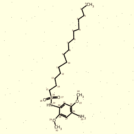 CCCCCCCCCCCCCCCCS(=O)(=O)Nc1cc(OC)c(N)cc1OC